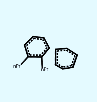 CCCc1ccccc1CCC.c1ccccc1